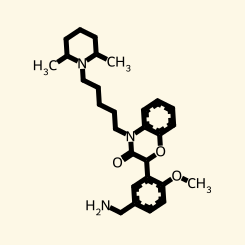 COc1ccc(CN)cc1C1Oc2ccccc2N(CCCCCN2C(C)CCCC2C)C1=O